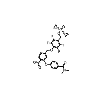 CN(C)C(=O)c1ccc(Oc2cc(COc3c(F)c(F)c(COP(=O)(N4CC4)N4CC4)c(F)c3F)ccc2[N+](=O)[O-])cc1